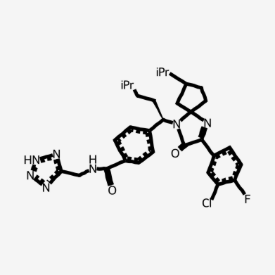 CC(C)CC[C@H](c1ccc(C(=O)NCc2nn[nH]n2)cc1)N1C(=O)C(c2ccc(F)c(Cl)c2)=NC12CCC(C(C)C)C2